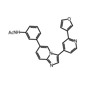 CC(=O)Nc1cccc(-c2ccc3ncc(-c4ccnc(-c5ccoc5)c4)n3c2)c1